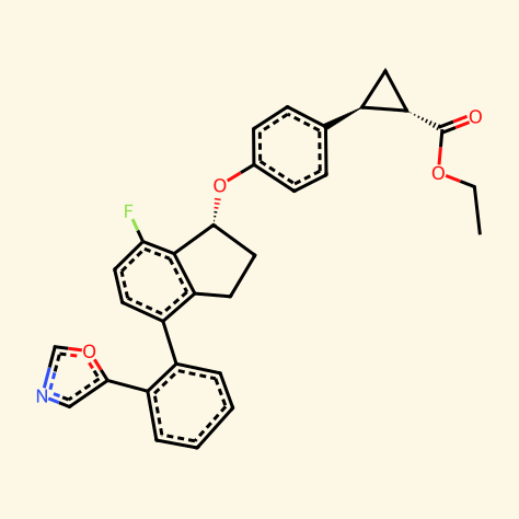 CCOC(=O)[C@H]1C[C@@H]1c1ccc(O[C@@H]2CCc3c(-c4ccccc4-c4cnco4)ccc(F)c32)cc1